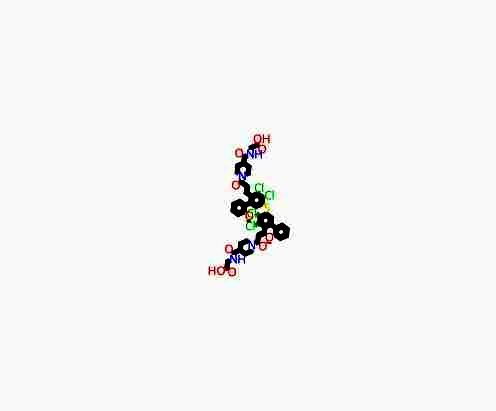 COc1ccccc1-c1cc(Sc2cc(-c3ccccc3OC)c(/C=C/C(=O)N3CCC(C(=O)NCC(=O)O)CC3)c(Cl)c2Cl)c(Cl)c(Cl)c1/C=C/C(=O)N1CCC(C(=O)NCC(=O)O)CC1